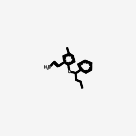 BC=Cc1cc(C)ccc1OC(CCC)c1ccccc1